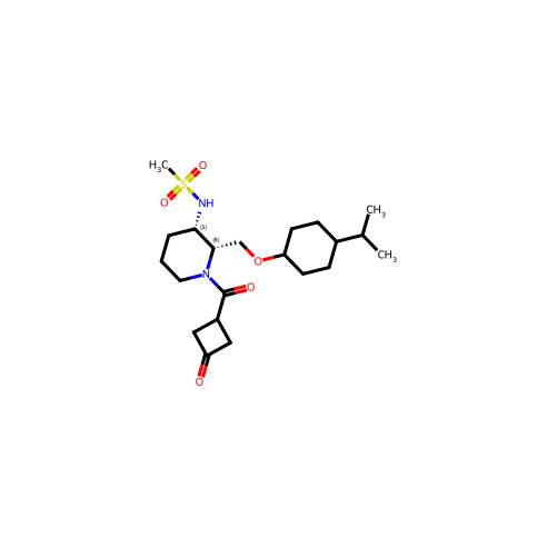 CC(C)C1CCC(OC[C@H]2[C@@H](NS(C)(=O)=O)CCCN2C(=O)C2CC(=O)C2)CC1